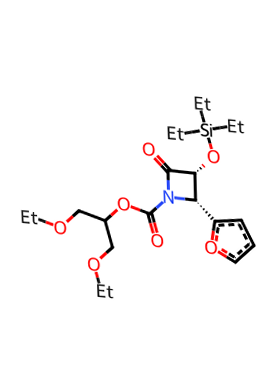 CCOCC(COCC)OC(=O)N1C(=O)[C@H](O[Si](CC)(CC)CC)[C@@H]1c1ccco1